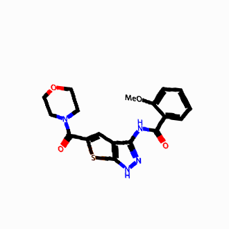 COc1ccccc1C(=O)Nc1n[nH]c2sc(C(=O)N3CCOCC3)cc12